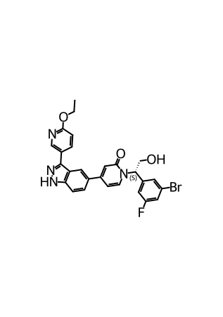 CCOc1ccc(-c2n[nH]c3ccc(-c4ccn([C@H](CO)c5cc(F)cc(Br)c5)c(=O)c4)cc23)cn1